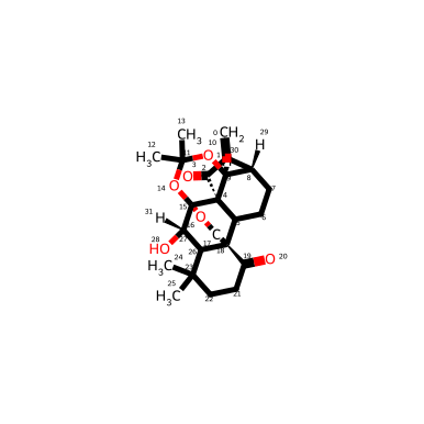 C=C1C(=O)[C@@]23C4CC[C@@H]1[C@H]2OC(C)(C)OC31OC[C@]42C(=O)CCC(C)(C)C2[C@@H]1O